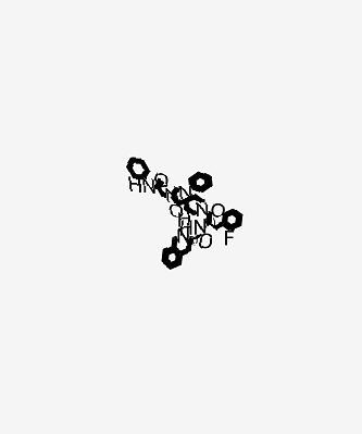 O=C(CN1CN(c2ccccc2)C2(CCN(C(=O)[C@@H](Cc3ccccc3F)NC(=O)[C@H]3Cc4ccccc4CN3)CC2)C1=O)NC1CCCCC1